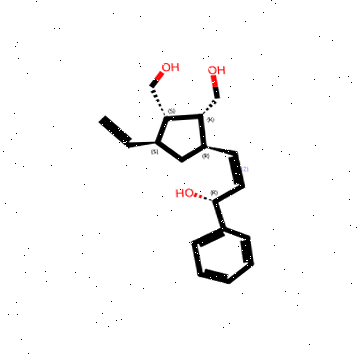 C=C[C@@H]1C[C@H](/C=C\[C@@H](O)c2ccccc2)[C@@H](CO)[C@H]1CO